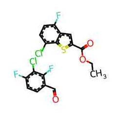 CCOC(=O)c1cc2c(F)ccc(Cl)c2s1.O=Cc1ccc(F)c(Cl)c1F